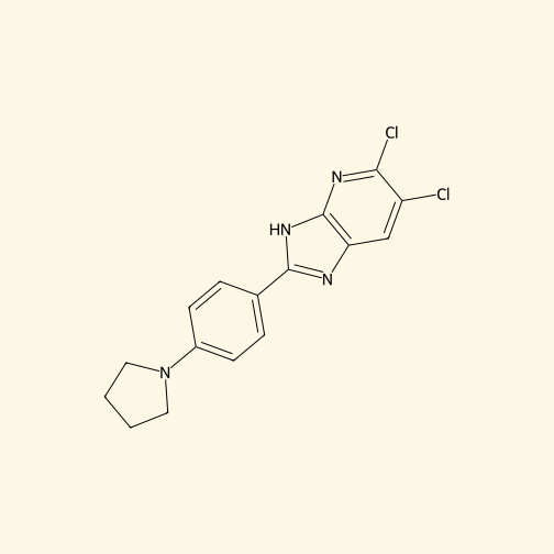 Clc1cc2nc(-c3ccc(N4CCCC4)cc3)[nH]c2nc1Cl